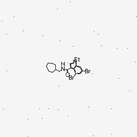 CCn1cc(C(=O)NCC2CCCCCC2)c2c(Br)cc(Br)cc21